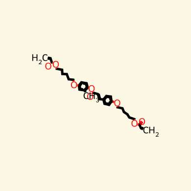 C=CC(=O)OCCCCCCOc1ccc(C=CC(=O)Oc2ccc(OCCCCCCOC(=O)C=C)cc2C)cc1